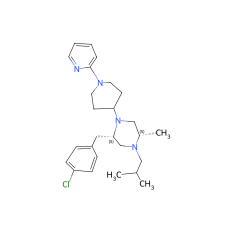 CC(C)CN1C[C@H](Cc2ccc(Cl)cc2)N(C2CCN(c3ccccn3)CC2)C[C@@H]1C